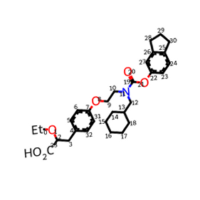 CCOC(Cc1ccc(OCCN(CC2CCCCC2)C(=O)Oc2ccc3c(c2)CCC3)cc1)C(=O)O